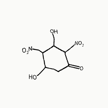 O=C1CC(O)C([N+](=O)[O-])C(O)C1[N+](=O)[O-]